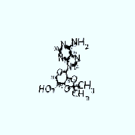 CC1(C)OC2C(O1)[C@H](CO)COC2n1cnc2c(N)ncnc21